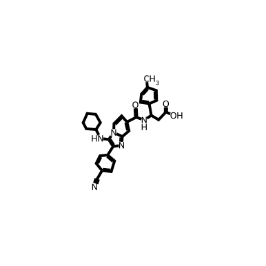 Cc1ccc(C(CC(=O)O)NC(=O)c2ccn3c(NC4CCCCC4)c(-c4ccc(C#N)cc4)nc3c2)cc1